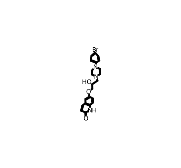 O=c1ccc2cc(OCC(O)CN3CCN(c4ccc(Br)cc4)CC3)ccc2[nH]1